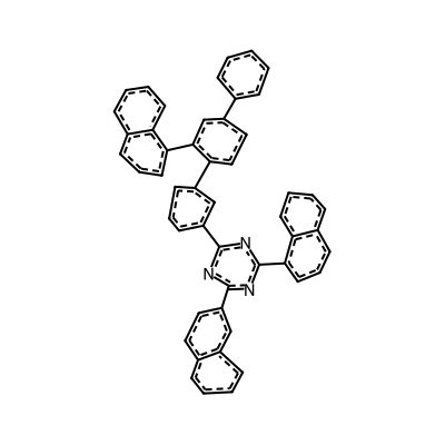 c1ccc(-c2ccc(-c3cccc(-c4nc(-c5ccc6ccccc6c5)nc(-c5cccc6ccccc56)n4)c3)c(-c3cccc4ccccc34)c2)cc1